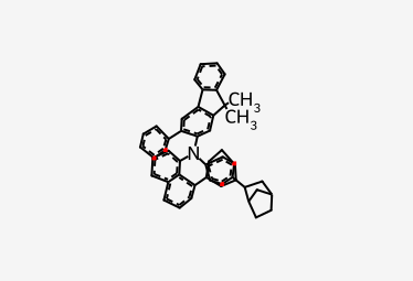 CC1(C)c2ccccc2-c2cc(-c3ccccc3)c(N(c3ccc(C4CC5CCC4C5)cc3)c3cccc4cccc(C5CCCCC5)c34)cc21